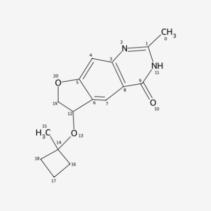 Cc1nc2cc3c(cc2c(=O)[nH]1)C(OC1(C)CCC1)CO3